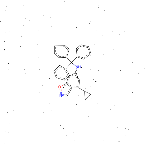 c1ccc(C(Nc2cc(C3CC3)c3cnoc3c2)(c2ccccc2)c2ccccc2)cc1